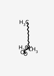 CCCCCCCCCCCCCC[N+](C)(C)CCC(=O)[O-]